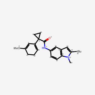 COC1=CC(C2(C(=O)Nc3ccc4c(c3)cc(C(C)(C)C)n4C)CC2)=CCC1